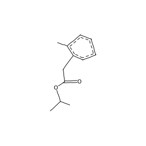 Cc1ccccc1CC(=O)OC(C)C